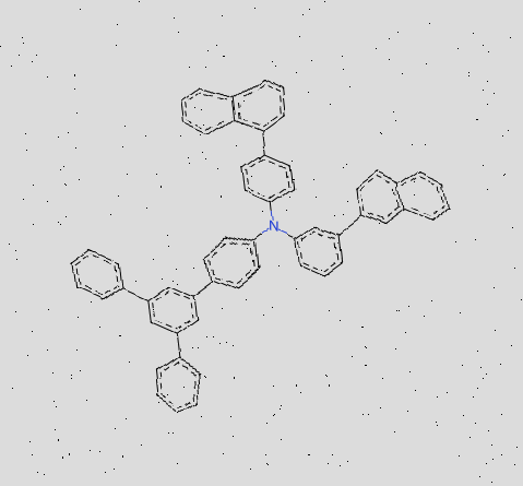 c1ccc(-c2cc(-c3ccccc3)cc(-c3ccc(N(c4ccc(-c5cccc6ccccc56)cc4)c4cccc(-c5ccc6ccccc6c5)c4)cc3)c2)cc1